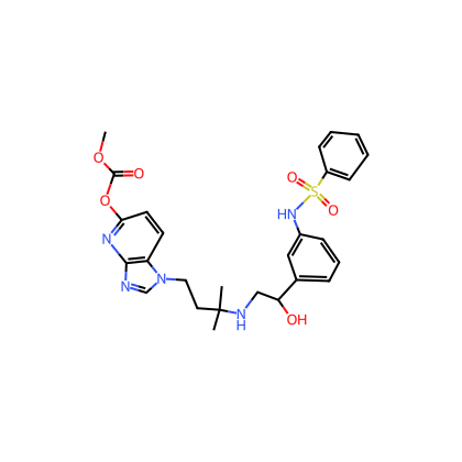 COC(=O)Oc1ccc2c(ncn2CCC(C)(C)NCC(O)c2cccc(NS(=O)(=O)c3ccccc3)c2)n1